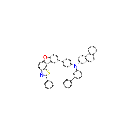 c1ccc(-c2cccc(N(c3ccc(-c4ccc5oc6ccc7nc(-c8ccccc8)sc7c6c5c4)cc3)c3ccc4c(ccc5ccccc54)c3)c2)cc1